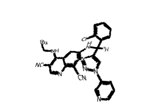 [2H]C(Nc1cc(C#N)c2ncc(C#N)c(NCC(C)(C)C)c2c1)(c1cn(-c2cccnc2)nn1)c1ccccc1Cl